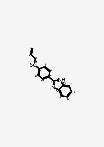 C=CC[Se]c1ccc(-c2nc3ccccc3[nH]2)cc1